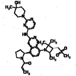 C=CC(=O)N1CCC[C@H]1c1ccc(N2[C@H](C)[C@@H](CS(C)(=O)=O)C2(C)C)c2cnc(Nc3ccnc(N4CCC(C)(O)CC4)n3)cc12